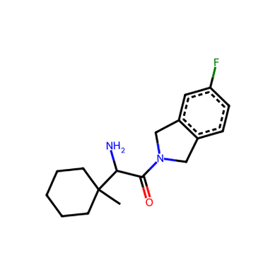 CC1(C(N)C(=O)N2Cc3ccc(F)cc3C2)CCCCC1